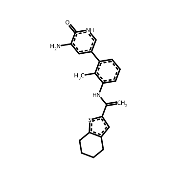 C=C(Nc1cccc(-c2c[nH]c(=O)c(N)c2)c1C)c1cc2c(s1)CCCC2